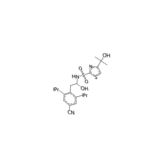 CC(C)c1cc(C#N)cc(C(C)C)c1CC(O)NS(=O)(=O)c1nc(C(C)(C)O)cs1